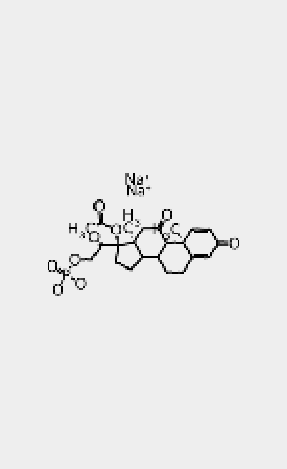 CC(=O)O[C@]1(C(=O)COP(=O)([O-])[O-])CCC2C3CCC4=CC(=O)C=C[C@]4(C)C3C(=O)C[C@@]21C.[Na+].[Na+]